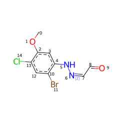 COc1cc(N/N=C\C=O)c(Br)cc1Cl